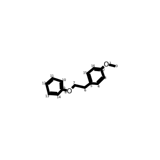 COc1ccc([CH]COc2ccccc2)cc1